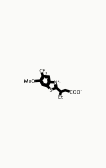 CCC(CC(=O)[O-])C1=[N+]c2cc(C(F)(F)F)c(OC)cc2S1